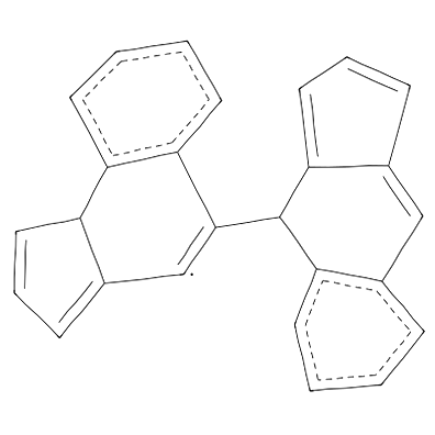 [C]1=C(C2C3=CC=CC3=Cc3ccccc32)c2ccccc2C2C=CC=C12